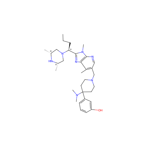 CCC[C@@H](c1nc2c(C)c(CN3CCC(c4cccc(O)c4)(N(C)C)CC3)cnc2n1C)N1C[C@@H](C)N[C@@H](C)C1